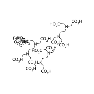 O=C(O)CN(CCN(CC(=O)O)CC(=O)O)CC(=O)O.O=C(O)CN(CCN(CC(=O)O)CC(=O)O)CC(=O)O.O=C(O)CN(CCN(CC(=O)O)CC(=O)O)CC(=O)O.O=[N+]([O-])[O-].O=[N+]([O-])[O-].O=[N+]([O-])[O-].[Fe+3]